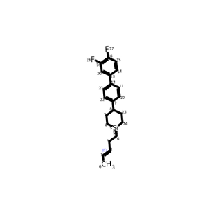 C/C=C/CC[SiH]1CCC(c2ccc(-c3ccc(F)c(F)c3)cc2)CC1